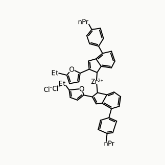 CCCc1ccc(-c2cccc3c2C=C(c2ccc(CC)o2)[CH]3[Zr+2][CH]2C(c3ccc(CC)o3)=Cc3c(-c4ccc(CCC)cc4)cccc32)cc1.[Cl-].[Cl-]